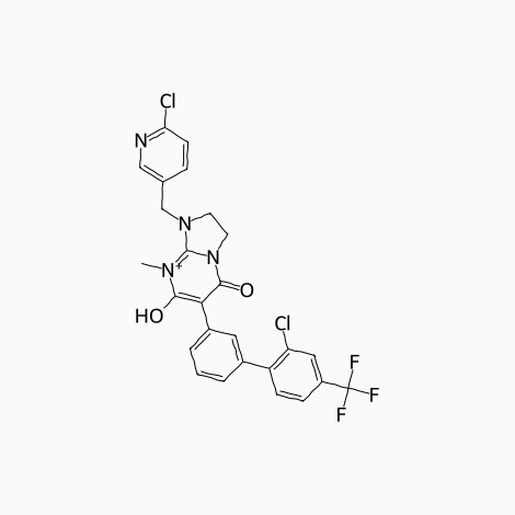 C[n+]1c(O)c(-c2cccc(-c3ccc(C(F)(F)F)cc3Cl)c2)c(=O)n2c1N(Cc1ccc(Cl)nc1)CC2